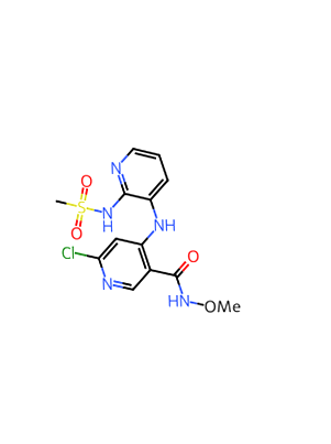 CONC(=O)c1cnc(Cl)cc1Nc1cccnc1NS(C)(=O)=O